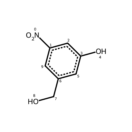 O=[N+]([O-])c1cc(O)cc(CO)c1